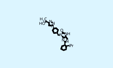 CC(C)c1ccccc1-c1ncc2[nH]c(=O)n(Cc3ccc(-n4cc(C(C)O)nn4)cc3)c2n1